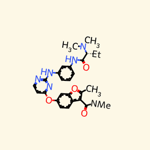 CC[C@H](C(=O)Nc1cccc(Nc2nccc(Oc3ccc4c(C(=O)NC)c(C)oc4c3)n2)c1)N(C)C